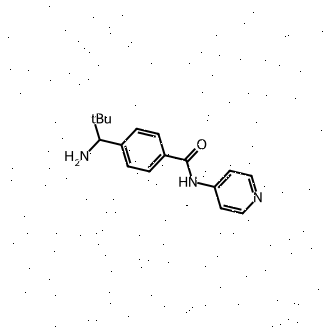 CC(C)(C)C(N)c1ccc(C(=O)Nc2ccncc2)cc1